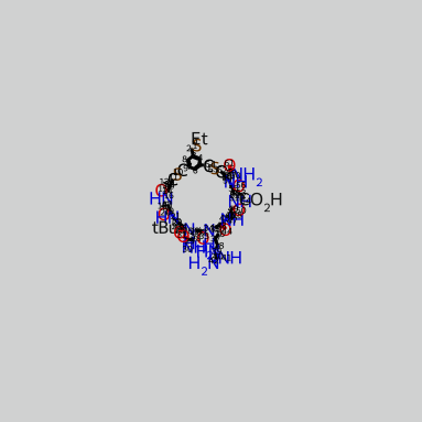 CCSCc1cc2cc(c1)CSC[C@H](C)C(=O)N[C@H](C)C(=O)N[C@@H](C(C)(C)C)C(=O)N[C@@H](CC(N)=O)C(=O)N[C@@H](CCCNC(=N)N)C(=O)NC(C)(C)C(=O)N[C@H](CC(=O)O)C(=O)N[C@H](C(N)=O)CSC2